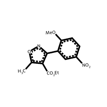 CCOC(=O)c1c(-c2cc([N+](=O)[O-])ccc2OC)noc1C